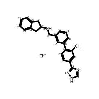 Cc1cc(-c2nc[nH]n2)ccc1-c1cccc(CNC2Cc3ccccc3C2)c1.Cl